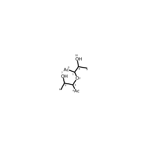 CC(=O)C(OC(C(C)=O)C(C)O)C(C)O